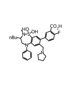 CCCCC1CN(c2ccccc2)c2cc(CN3CCCC3)c(-c3ccc(F)c(C(=O)O)c3)cc2S(O)(O)N1C